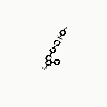 Nc1nc(-c2ccccc2)c2nc(-c3ccc(N4CCN(S(=O)(=O)c5ccc(Cl)cc5)CC4)nc3)ccc2n1